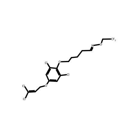 FC(F)(F)CON=CCCCCOc1c(Cl)cc(OCC=C(Cl)Cl)cc1Cl